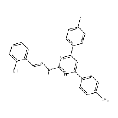 Cc1ccc(-c2cc(-c3ccc(F)cc3)nc(NN=Cc3ccccc3O)n2)cc1